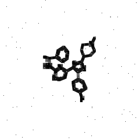 C[C@H](Nc1nccc(-c2sc(C3CCN(C)CC3)nc2-c2ccc(F)cc2)n1)c1ccccc1